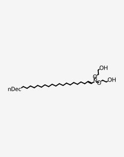 CCCCCCCCCCCCCCCCCCCCCCCCCCCCC=CN(OCCO)OCCO